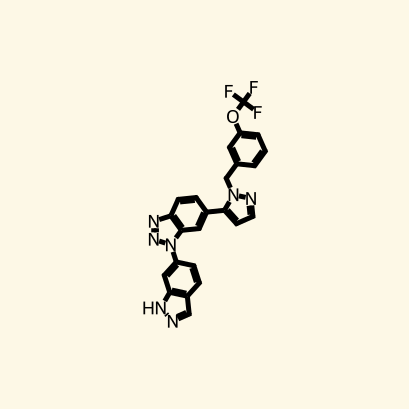 FC(F)(F)Oc1cccc(Cn2nccc2-c2ccc3nnn(-c4ccc5cn[nH]c5c4)c3c2)c1